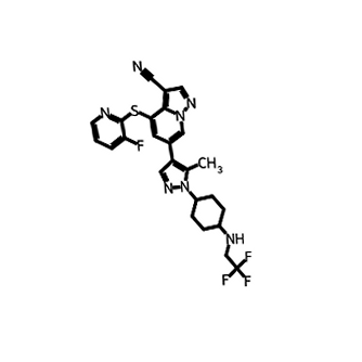 Cc1c(-c2cc(Sc3ncccc3F)c3c(C#N)cnn3c2)cnn1C1CCC(NCC(F)(F)F)CC1